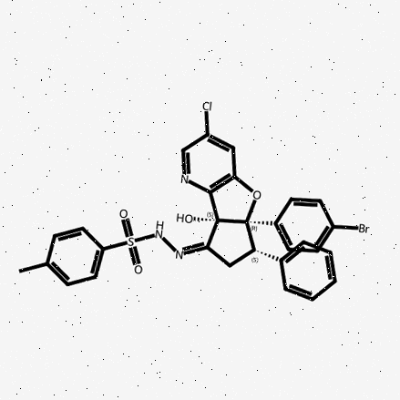 Cc1ccc(S(=O)(=O)NN=C2C[C@@H](c3ccccc3)[C@]3(c4ccc(Br)cc4)Oc4cc(Cl)cnc4[C@]23O)cc1